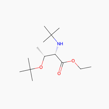 CCOC(=O)[C@@H](NC(C)(C)C)[C@@H](C)OC(C)(C)C